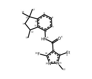 CCc1c(C(=O)Nc2cccc3c2C(C)CC3(C)C)c(F)nn1C